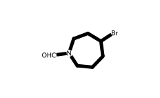 O=CN1CCCC(Br)CC1